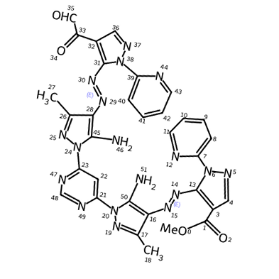 COC(=O)c1cnn(-c2ccccn2)c1/N=N/c1c(C)nn(-c2cc(-n3nc(C)c(/N=N/c4c(C(=O)C=O)cnn4-c4ccccn4)c3N)ncn2)c1N